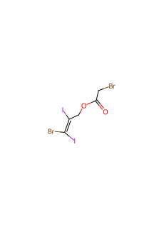 O=C(CBr)OC/C(I)=C(/Br)I